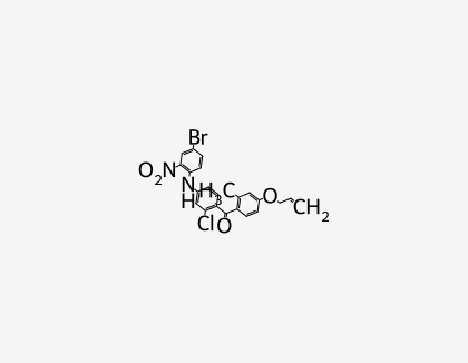 C=CCOc1ccc(C(=O)c2ccc(Nc3ccc(Br)cc3[N+](=O)[O-])cc2Cl)c(C)c1